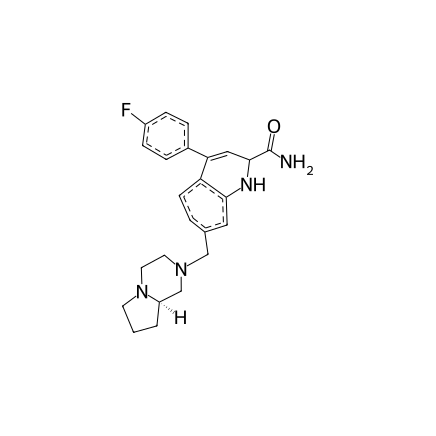 NC(=O)C1C=C(c2ccc(F)cc2)c2ccc(CN3CCN4CCC[C@@H]4C3)cc2N1